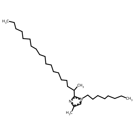 CCCCCCCCCCCCCCCCCC(C)c1nc(C)cn1CCCCCCCC